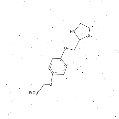 CCOC(=O)COc1ccc(OCC2NCCS2)cc1